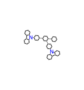 c1ccc(-c2ccc(-c3ccc(-n4c5ccccc5c5ccccc54)cc3)cc2-c2ccc(-n3c4ccccc4c4ccccc43)cc2)cc1